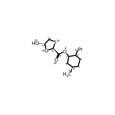 CC(C)C1CC[C@@H](C)CC1OC(=O)[C@H]1O[C@H](O)CS1